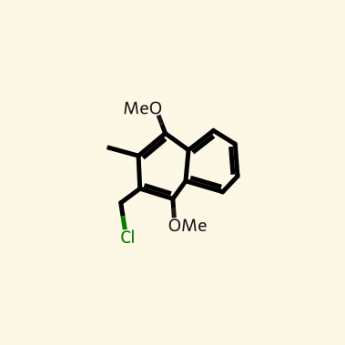 COc1c(C)c(CCl)c(OC)c2ccccc12